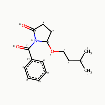 CC(C)CCOC1CCC(=O)N1C(=O)c1ccccc1